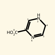 O=C(O)C1=CNCC=N1